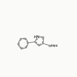 CCCCCCc1c[nH]c(-c2ccccc2)c1